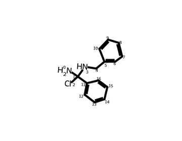 NC(Cl)(NCc1ccccc1)c1ccccc1